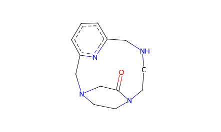 O=C1CN2CCN1CCNCc1cccc(n1)C2